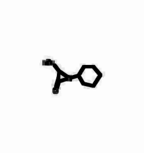 CCCCC1C(=O)N1C1CCCCC1